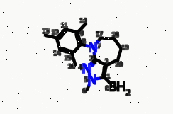 Bc1c2c(nn1C)N(c1c(C)cc(C)cc1C)CCCC2